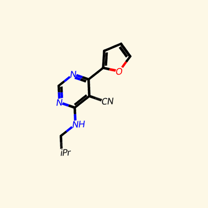 CC(C)CNc1ncnc(-c2ccco2)c1C#N